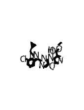 CCOC(=O)c1cnccc1Nc1nc(-c2nn(CC3CC3)c3c(Cl)cccc23)ncc1OC